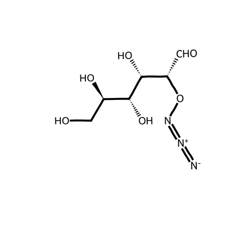 [N-]=[N+]=NO[C@@H](C=O)[C@@H](O)[C@H](O)[C@H](O)CO